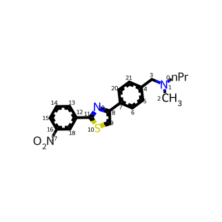 CCCN(C)Cc1ccc(-c2csc(-c3cccc([N+](=O)[O-])c3)n2)cc1